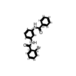 O=C(Nc1cccc(NC(=O)c2ccccc2Br)c1)c1ccccc1